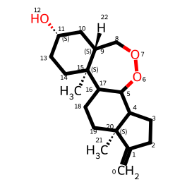 C=C1CCC2C3OOC[C@H]4C[C@@H](O)CC[C@]4(C)C3CC[C@]12C